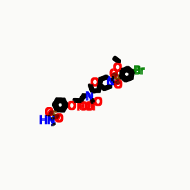 CCOc1cc(Br)ccc1S(=O)(=O)N1CCC2(CC1)CC(N(CC(O)COc1cccc(S(=O)(=O)NC)c1)C(=O)O)CO2